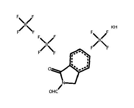 F[B-](F)(F)F.F[B-](F)(F)F.F[B-](F)(F)F.O=CN1Cc2ccccc2C1=O.[KH]